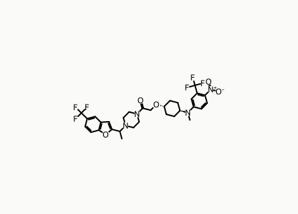 CC(c1cc2cc(C(F)(F)F)ccc2o1)N1CCN(C(=O)CO[C@H]2CC[C@H](N(C)c3ccc([N+](=O)[O-])c(C(F)(F)F)c3)CC2)CC1